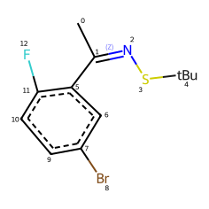 C/C(=N/SC(C)(C)C)c1cc(Br)ccc1F